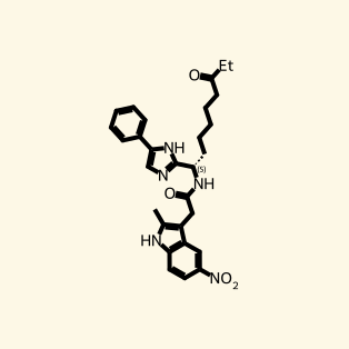 CCC(=O)CCCCC[C@H](NC(=O)Cc1c(C)[nH]c2ccc([N+](=O)[O-])cc12)c1ncc(-c2ccccc2)[nH]1